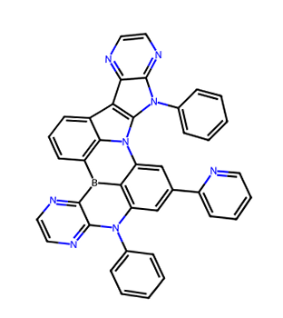 c1ccc(N2c3cc(-c4ccccn4)cc4c3B(c3nccnc32)c2cccc3c5c6nccnc6n(-c6ccccc6)c5n-4c23)cc1